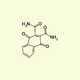 NC(=O)C1=C(C(N)=O)C(=O)c2ccccc2C1=O